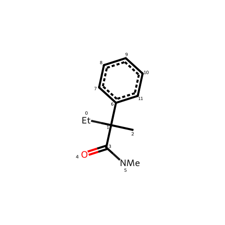 CCC(C)(C(=O)NC)c1ccccc1